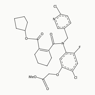 COC(=O)COc1cc(N(Cc2ccc(Cl)nc2)C(=O)C2=C(C(=O)OC3CCCC3)CCCC2)c(F)cc1Cl